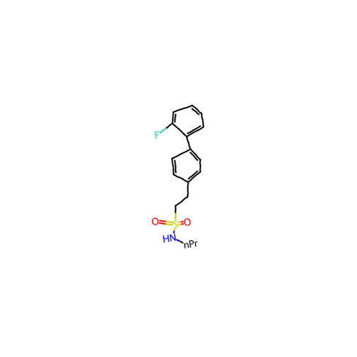 CCCNS(=O)(=O)CCc1ccc(-c2ccccc2F)cc1